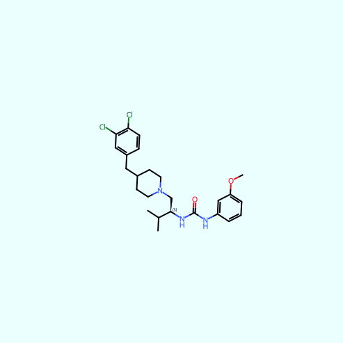 COc1cccc(NC(=O)N[C@H](CN2CCC(Cc3ccc(Cl)c(Cl)c3)CC2)C(C)C)c1